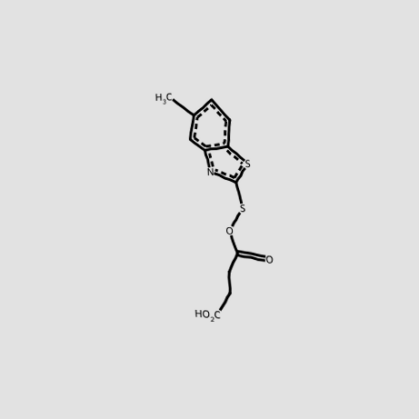 Cc1ccc2sc(SOC(=O)CCC(=O)O)nc2c1